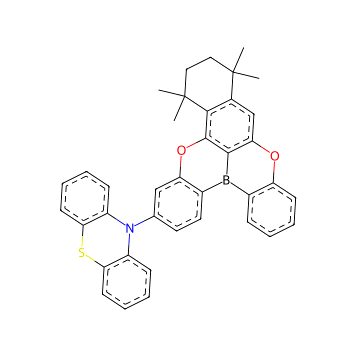 CC1(C)CCC(C)(C)c2c1cc1c3c2Oc2cc(N4c5ccccc5Sc5ccccc54)ccc2B3c2ccccc2O1